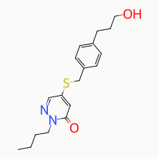 CCCCn1ncc(SCc2ccc(CCCO)cc2)cc1=O